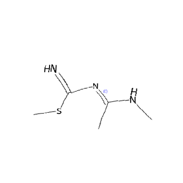 CN/C(C)=N/C(=N)SC